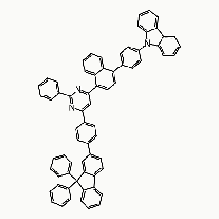 c1ccc(-c2nc(-c3ccc(-c4ccc5c(c4)C(c4ccccc4)(c4ccccc4)c4ccccc4-5)cc3)cc(-c3ccc(-c4ccc(-n5c6ccccc6c6ccccc65)cc4)c4ccccc34)n2)cc1